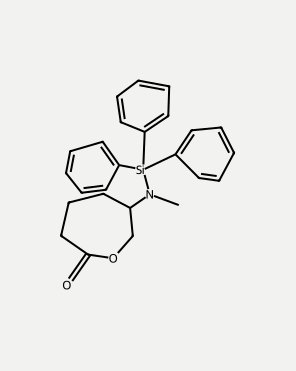 CN(C1CCCC(=O)OC1)[Si](c1ccccc1)(c1ccccc1)c1ccccc1